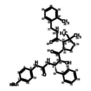 CCCCc1ccc(NC(=O)N[C@@H](Cc2ccccc2)[C@H](O)C(=O)N2CSC(C)(C)[C@H]2C(=O)NCc2ccccc2C)cc1